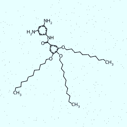 CCCCCCCCCCCCOc1cc(C(=O)Nc2cc(N)cc(N)c2)cc(OCCCCCCCCCCC)c1OCCCCCCCCCCCC